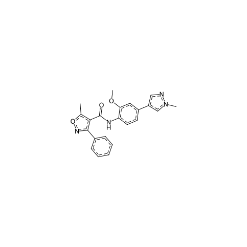 COc1cc(-c2cnn(C)c2)ccc1NC(=O)c1c(-c2ccccc2)noc1C